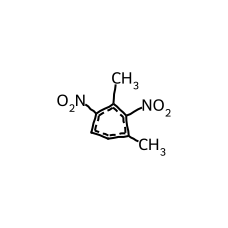 Cc1ccc([N+](=O)[O-])c(C)c1[N+](=O)[O-]